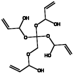 C=CC(O)OCC(OC(O)C=C)(OC(O)C=C)OC(O)C=C